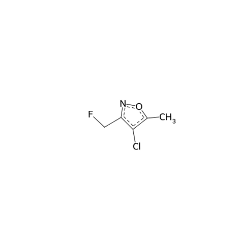 Cc1onc(CF)c1Cl